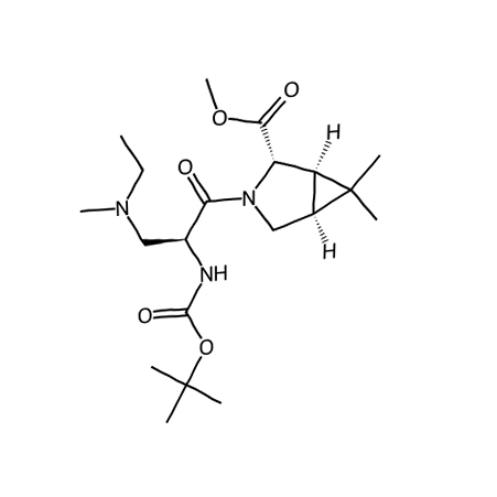 CCN(C)C[C@H](NC(=O)OC(C)(C)C)C(=O)N1C[C@H]2[C@@H]([C@H]1C(=O)OC)C2(C)C